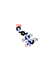 CC[C@H]1CN(C(C)c2ccc(CN3CCC(O)CC3)cc2)[C@H](CC)CN1c1nc(=O)n(C)c2ccc(C#N)nc12